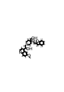 COc1ccc2nccc([C@@H](O)CN3CCC(CO)(NCc4cc5ccccc5o4)CC3)c2c1